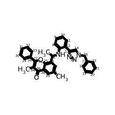 Cc1cc(C(C)Nc2ccccc2-c2cn(Cc3ccccc3)nn2)c2oc(-c3ccccc3)c(C)c(=O)c2c1